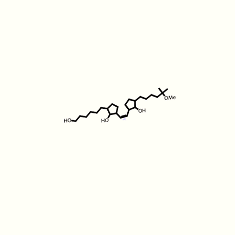 COC(C)(C)CCCCC1CCC(/C=C\C2CCC(CCCCCCO)C2O)C1O